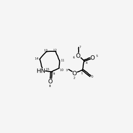 C=C(OC)C(=O)OC.O=C1CCCCCN1